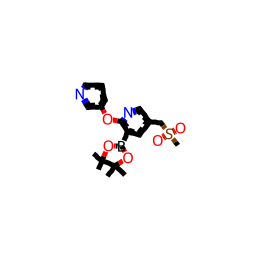 CC1(C)OB(c2cc(CS(C)(=O)=O)cnc2Oc2cccnc2)OC1(C)C